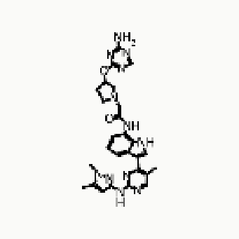 Cc1cnc(Nc2cc(C)n(C)n2)nc1-c1c[nH]c2c(NC(=O)CN3CCC(Oc4ncnc(N)n4)C3)cccc12